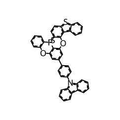 S=P12c3ccccc3Oc3cc(-c4ccc(-n5c6ccccc6c6ccccc65)cc4)cc(c31)Oc1c2ccc2sc3ccccc3c12